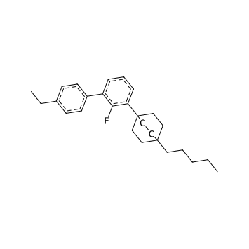 CCCCCC12CCC(c3cccc(-c4ccc(CC)cc4)c3F)(CC1)CC2